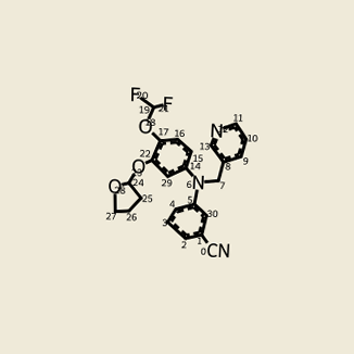 N#Cc1cccc(N(Cc2cccnc2)c2ccc(OC(F)F)c(OC3CCCO3)c2)c1